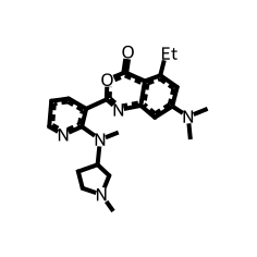 CCc1cc(N(C)C)cc2nc(-c3cccnc3N(C)C3CCN(C)C3)oc(=O)c12